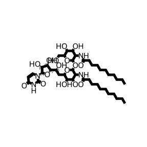 CCCCCCCCCCC(=O)NC1C(OC2OC(C[C@@H](O)[C@H]3O[C@@H](n4ccc(=O)[nH]c4=O)[C@H](O)[C@@H]3O)C(O)C(O)C2NC(=O)CCCCCCCCCC)OC(CO)C(O)C1O